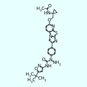 CC(=O)NC1(COc2ccc3c(n2)sc2nc(-c4ccc(N(N)C(=O)Nc5cc(C(C)(C)C)on5)cc4)cn23)CC1